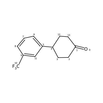 O=C1CCC(c2cccc(C(F)(F)F)c2)CC1